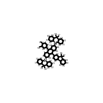 Cc1ccc(-c2c3ccc(N4c5ccccc5C(C)(C)c5ccccc54)cc3c(-c3ccc4c(c3)C(C)(C)c3ccccc3-4)c3ccc(N4c5ccccc5C(C)(C)c5ccccc54)cc23)cc1C